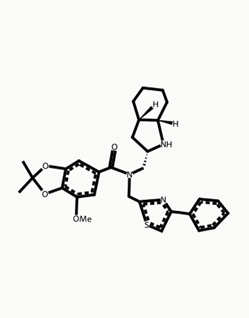 COc1cc(C(=O)N(Cc2nc(-c3ccccc3)cs2)C[C@@H]2C[C@@H]3CCCC[C@@H]3N2)cc2c1OC(C)(C)O2